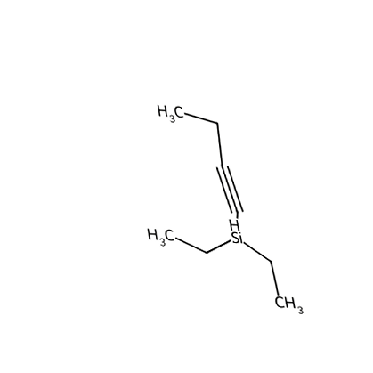 CCC#C[SiH](CC)CC